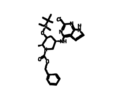 C[C@H]1C(O[Si](C)(C)C(C)(C)C)C[C@@H](Nc2nc(Cl)nc3[nH]ccc23)CN1C(=O)OCc1ccccc1